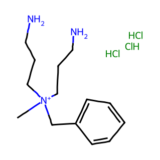 C[N+](CCCN)(CCCN)Cc1ccccc1.Cl.Cl.Cl